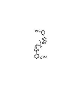 COc1cccc(-c2csc(NC(=O)C(=O)Nc3nc(-c4cccc(OC)c4)cs3)n2)c1